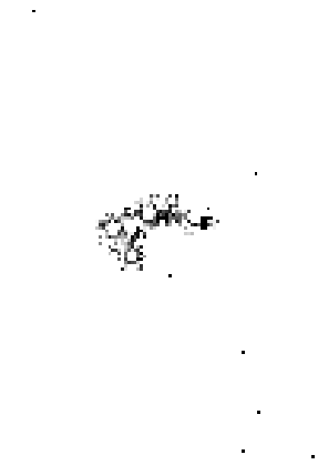 Cc1ccsc1C1=Nc2cc(C(=O)NCCC(C)C)ccc2Sc2ccccc21